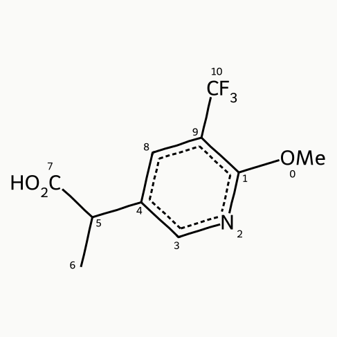 COc1ncc(C(C)C(=O)O)cc1C(F)(F)F